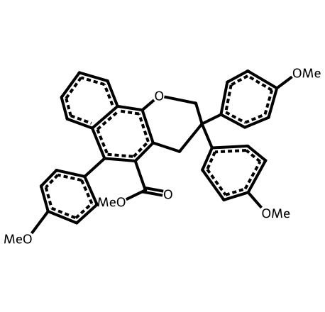 COC(=O)c1c2c(c3ccccc3c1-c1ccc(OC)cc1)OCC(c1ccc(OC)cc1)(c1ccc(OC)cc1)C2